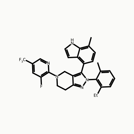 CCc1cccc(C)c1-n1nc2c(c1-c1ccc(C)c3[nH]ccc13)CN(c1ncc(C(F)(F)F)cc1F)CC2